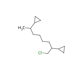 CC(CCCCC(CCl)C1CC1)C1CC1